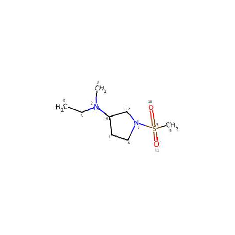 [CH2]CN(C)C1CCN(S(C)(=O)=O)C1